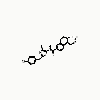 Cc1nc(Cc2ccc(Cl)cc2)sc1NC(=O)c1ccc2c(c1)CCN(C(=O)O)C2CC(C)C